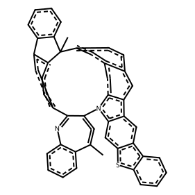 CC1=C=C2C(=Nc3ccccc31)c1ccc3c(c1)-c1ccccc1C3(C)c1ccc3cc4c5cc6c(cc5n2c4cc3c1)sc1ccccc16